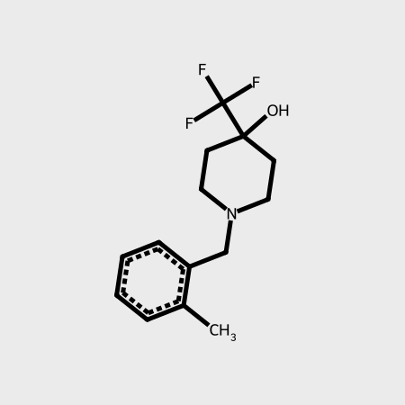 Cc1ccccc1CN1CCC(O)(C(F)(F)F)CC1